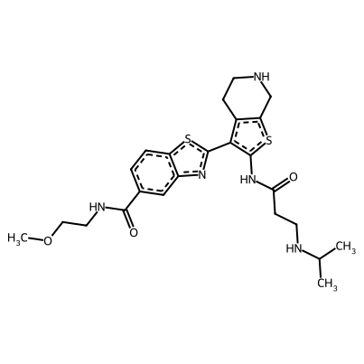 COCCNC(=O)c1ccc2sc(-c3c(NC(=O)CCNC(C)C)sc4c3CCNC4)nc2c1